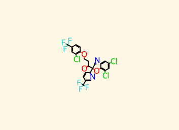 N#CC(Oc1ccc(Cl)cc1Cl)(C(=O)CCOc1ccc(C(F)(F)F)cc1Cl)c1ccc(C(F)(F)F)cn1